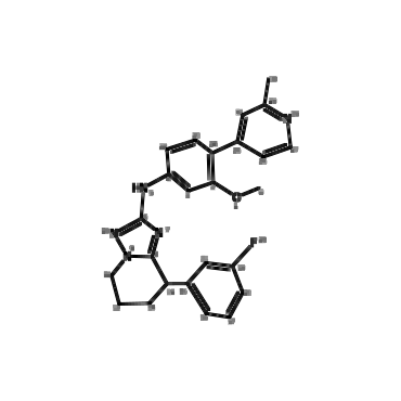 COc1cc(Nc2nc3n(n2)CCCC3c2cccc(F)c2)ccc1-c1ccnc(C)c1